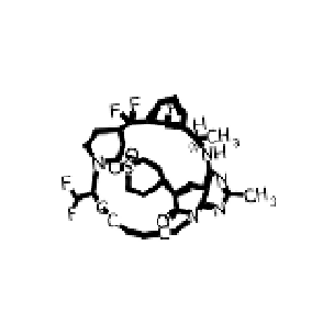 Cc1nc2c3cc(C4CCS(=O)(=O)CC4)c(=O)n(c3n1)CCCCCCC(C(F)F)N1CCC(CC1)C(F)(F)c1cccc(c1F)[C@@H](C)N2